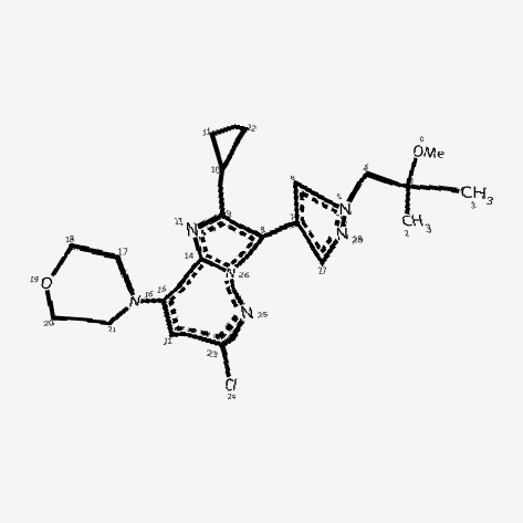 COC(C)(C)Cn1cc(-c2c(C3CC3)nc3c(N4CCOCC4)cc(Cl)nn23)cn1